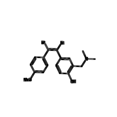 CCC(=C(CC)c1ccc(O)c(CN(C)C)c1)c1ccc(OC)cc1